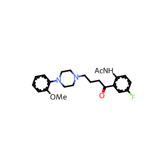 COc1ccccc1N1CCN(CCCC(=O)c2cc(F)ccc2NC(C)=O)CC1